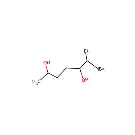 CCC(C)C(CC)C(O)CCC(C)O